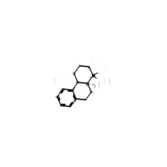 CC1(C)[C@@H](Br)CC[C@]2(C)c3ccccc3CC[C@@H]12